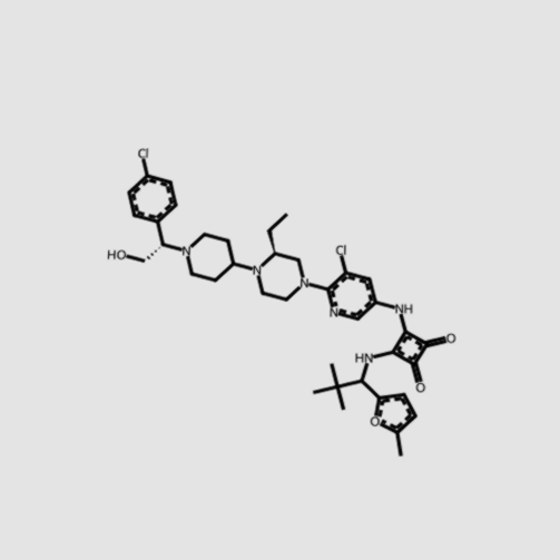 CC[C@H]1CN(c2ncc(Nc3c(NC(c4ccc(C)o4)C(C)(C)C)c(=O)c3=O)cc2Cl)CCN1C1CCN([C@H](CO)c2ccc(Cl)cc2)CC1